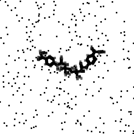 COC(=O)c1ccc(OC(=O)NC(C)(C)CCC(C)(N)NC(=O)Oc2ccc(C(=O)OC)cc2)cc1